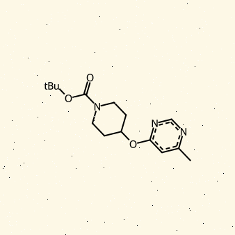 Cc1cc(OC2CCN(C(=O)OC(C)(C)C)CC2)ncn1